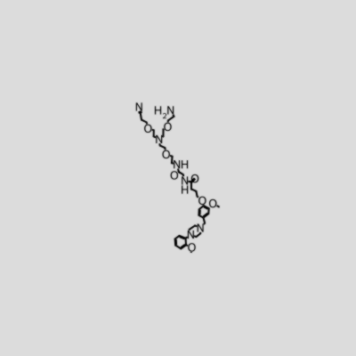 COc1cc(CN2CCN(c3ccccc3OC)CC2)ccc1OCCCC(=O)NCC(=O)NCCOCCN(CCOCCN)CCOCCC#N